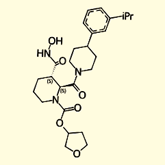 CC(C)c1cccc(C2CCN(C(=O)[C@@H]3[C@@H](C(=O)NO)CCCN3C(=O)OC3CCOC3)CC2)c1